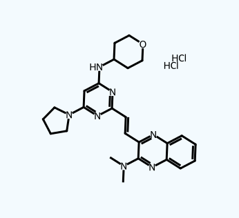 CN(C)c1nc2ccccc2nc1C=Cc1nc(NC2CCOCC2)cc(N2CCCC2)n1.Cl.Cl